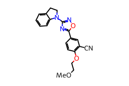 COCCOc1ccc(-c2nc(N3CCc4ccccc43)no2)cc1C#N